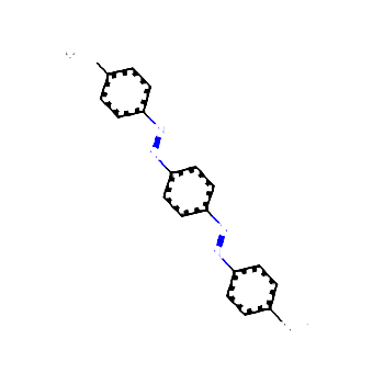 COc1ccc(N=Nc2ccc(N=Nc3ccc(NC(C)=O)cc3)cc2)cc1